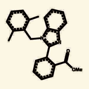 COC(=O)c1ccccc1-c1nc2ccccc2n1Cc1c(C)cccc1C